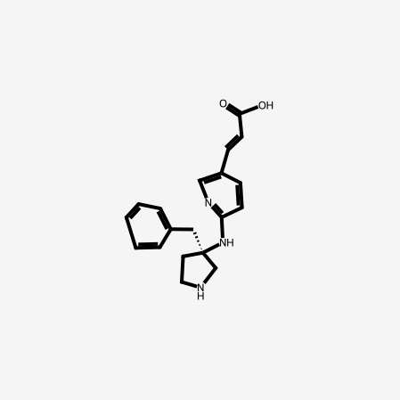 O=C(O)/C=C/c1ccc(N[C@]2(Cc3ccccc3)CCNC2)nc1